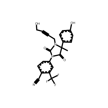 CC1(c2ccc(O)cc2)C(=O)N(c2ccc(C#N)c(C(F)(F)F)c2)C(=O)N1CC#CCO